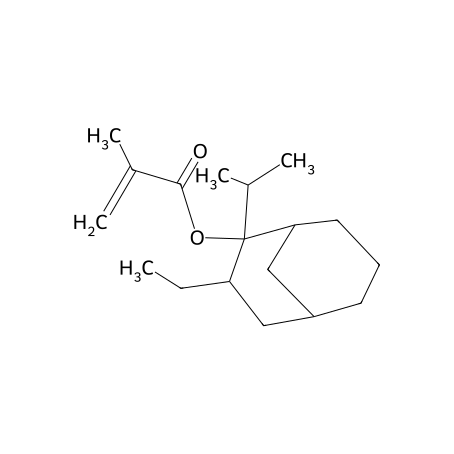 C=C(C)C(=O)OC1(C(C)C)C(CC)CC2CCCC1C2